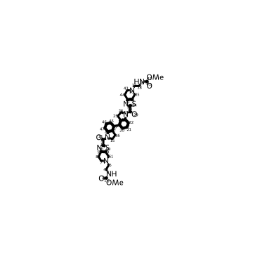 COC(=O)NCCN1CCc2nc(C(=O)N3CCc4c(-c5cccc6c5CCN6C(=O)c5nc6c(s5)CN(CCNC(=O)OC)CC6)cccc43)sc2C1